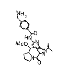 C=C(C)n1nc(C(=O)N2CCC[C@H]2COC)c2sc(NC(=O)c3ccc(CN)cc3)nc21